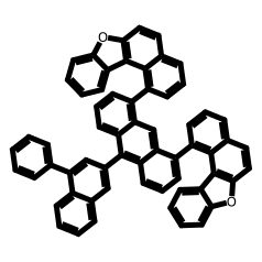 c1ccc(-c2cc(-c3c4cccc(-c5cccc6ccc7oc8ccccc8c7c56)c4cc4c(-c5cccc6ccc7oc8ccccc8c7c56)cccc34)cc3ccccc23)cc1